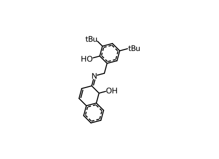 CC(C)(C)c1cc(CN=C2C=Cc3ccccc3C2O)c(O)c(C(C)(C)C)c1